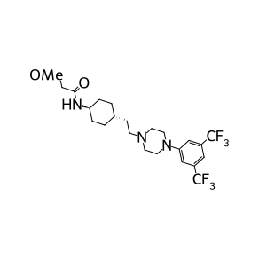 COCC(=O)N[C@H]1CC[C@H](CCN2CCN(c3cc(C(F)(F)F)cc(C(F)(F)F)c3)CC2)CC1